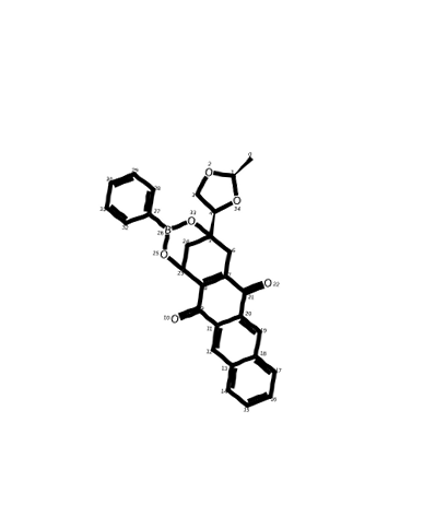 C[C@@H]1OC[C@H](C23CC4=C(C(=O)c5cc6ccccc6cc5C4=O)C(C2)OB(c2ccccc2)O3)O1